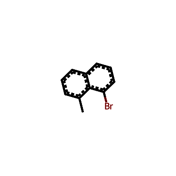 Cc1cccc2cccc(Br)c12